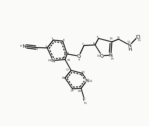 N#Cc1ccc(OCC2CC(CNCl)=NO2)c(-c2ccc(F)nc2)n1